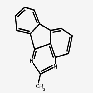 Cc1nc2c3c(cccc3n1)-c1ccccc1-2